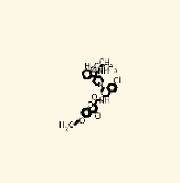 C=CCOc1ccc2oc(C(=O)N[C@H](CCN3CCC(C(=O)NC(C)(C)C)(C4CCCCC4)CC3)Cc3ccc(Cl)cc3)cc(=O)c2c1